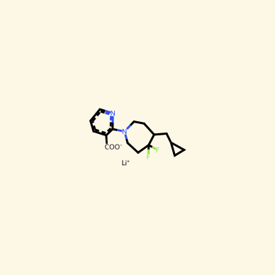 O=C([O-])c1cccnc1N1CCC(CC2CC2)C(F)(F)CC1.[Li+]